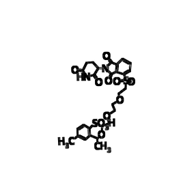 Cc1ccc(S(=O)(=O)O)c(C(C)OCCOCCOCCS(=O)(=O)c2cccc3c2C(=O)N(C2CCC(=O)NC2=O)C3=O)c1